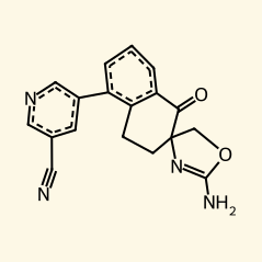 N#Cc1cncc(-c2cccc3c2CCC2(COC(N)=N2)C3=O)c1